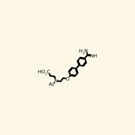 CC(=O)N(CCOc1ccc(-c2ccc(C(=N)N)cc2)cc1)CCC(=O)O